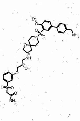 CCOc1ccc(-c2ccc(CN)cc2)cc1S(=O)(=O)N1CCC2(CC1)C[C@H](NC[C@H](O)COc1cccc(S(=O)(=O)CC(N)=O)c1)CO2